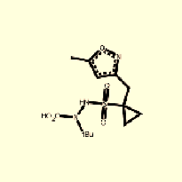 Cc1cc(CC2(S(=O)(=O)NN(C(=O)O)C(C)(C)C)CC2)no1